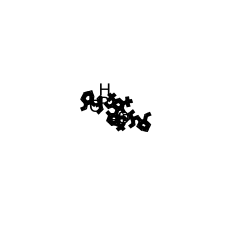 CCc1ccccc1CC(CC)(CC)POc1c(C(C)(C)C)ccc(C)c1-c1c(C)c(C(C)(C)C)cc(C(C)(C)C)c1CPC(CC)(CC)Oc1ccccc1CC